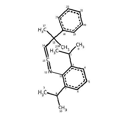 CC(C)c1cccc(C(C)C)c1N=C=CC(C)(C)c1ccccc1